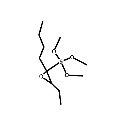 CCCCC1([Si](OC)(OC)OC)OC1CC